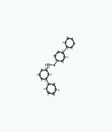 c1ccc(-c2ccc(CNc3cccc(-c4ccccc4)c3)cc2)cc1